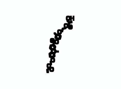 C=CC(=O)OCCOc1ccc2c(c1)C(C)c1cc(C(=O)Oc3ccc(OCCCOC(=O)C(=C)CO)c(C)c3)ccc1-2